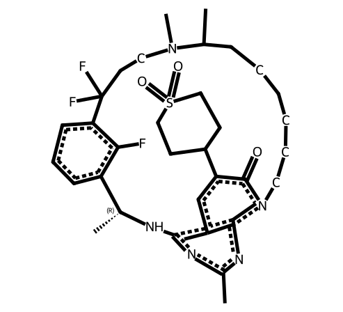 Cc1nc2c3cc(C4CCS(=O)(=O)CC4)c(=O)n(c3n1)CCCCCCC(C)N(C)CCC(F)(F)c1cccc(c1F)[C@@H](C)N2